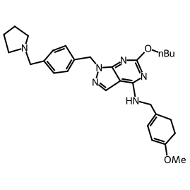 CCCCOc1nc(NCC2=CC=C(OC)CC2)c2cnn(Cc3ccc(CN4CCCC4)cc3)c2n1